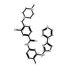 Cc1ccc(NC(=O)c2ccc(CN3CCN(C)CC3)c(Cl)c2)cc1Nc1nc(-c2ccncc2)cs1